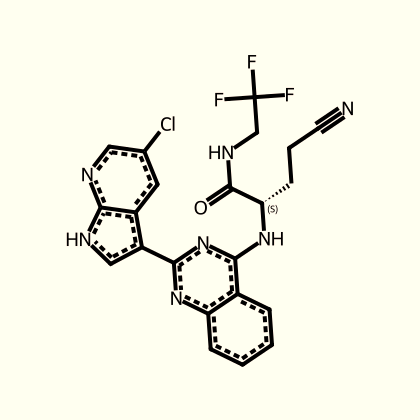 N#CCC[C@H](Nc1nc(-c2c[nH]c3ncc(Cl)cc23)nc2ccccc12)C(=O)NCC(F)(F)F